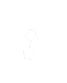 CCc1ccn(C2CCCC2)n1